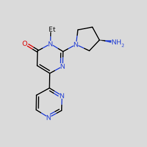 CCn1c(N2CC[C@@H](N)C2)nc(-c2ccncn2)cc1=O